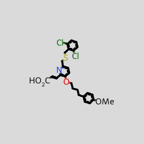 COc1ccc(CCCCOc2ccc(CSCc3c(Cl)cccc3Cl)nc2C=CC(=O)O)cc1